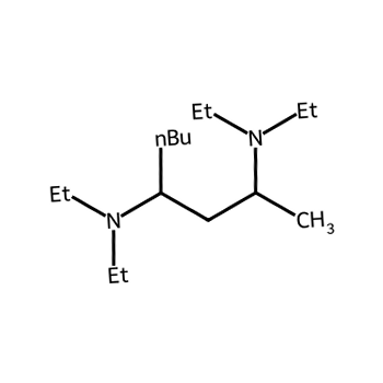 CCCCC(CC(C)N(CC)CC)N(CC)CC